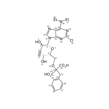 C#C[C@@H](O)[C@@H](O[C@@H](CO)COC(Cc1ccccc1)(C(=O)O)C(=O)O)n1cnc2c(N(CC)CC)nc(Cl)nc21